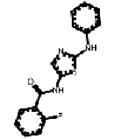 O=C(Nc1cnc(Nc2ccccc2)s1)c1ccccc1F